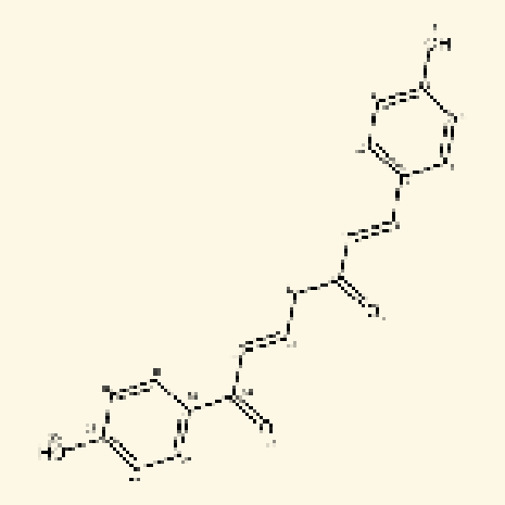 O=C(C=Cc1ccc(O)cc1)CC=CC(=O)c1ccc(O)cc1